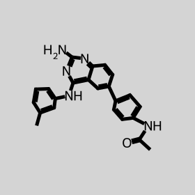 CC(=O)Nc1ccc(-c2ccc3nc(N)nc(Nc4cccc(C)c4)c3c2)cc1